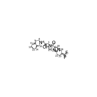 O=C(NC[C@H](O)CN1CCc2ccccc2C1)c1cn2c(n1)CCC(C(F)F)C2